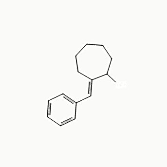 OC1CCCCCC1=Cc1ccccc1